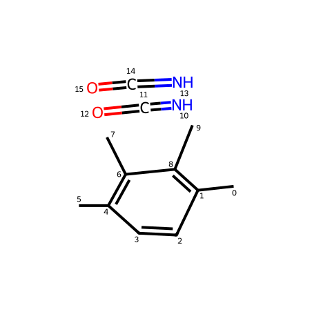 Cc1ccc(C)c(C)c1C.N=C=O.N=C=O